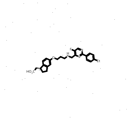 CCc1ccc(-c2ncc(F)c(CNCCCOc3ccc4c(c3)CC[C@H]4CC(=O)O)n2)cc1